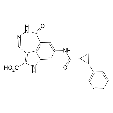 O=C(O)c1[nH]c2cc(NC(=O)C3CC3c3ccccc3)cc3c2c1C=NNC3=O